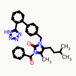 Cc1c(CCC(C)C)n(Cc2ccc(-c3ccccc3-c3nnn[nH]3)cc2)c(=O)n1C(=O)c1ccccc1